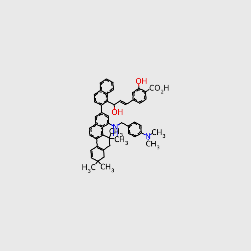 CN(C)c1ccc(CNc2cc(-c3ccc4ccccc4c3C(O)C=Cc3ccc(C(=O)O)c(O)c3)cc3ccc4c(c23)C(C)(C)CC2=C4C=CC(C)(C)C2)cc1